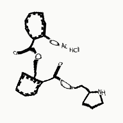 CC(=O)Oc1ccccc1C(=O)Oc1ccccc1C(=O)OCC1CCCN1.Cl